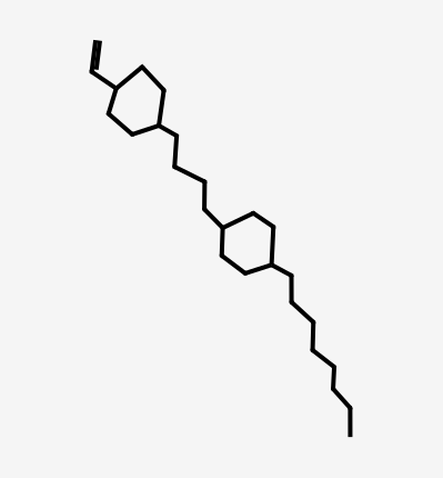 C=CC1CCC(CCCCC2CCC(CCCCCCCC)CC2)CC1